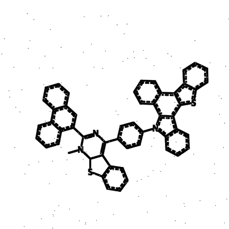 CN1C(c2cc3ccccc3c3ccccc23)=NC(c2ccc(-n3c4ccccc4c4c5sc6ccccc6c5c5ccccc5c43)cc2)=C2c3ccccc3SC21